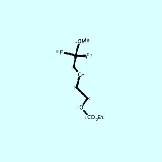 CCOC(=O)OCCOCC(F)(F)OC